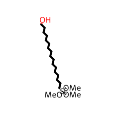 CO[Si](CCCCCCCCCCCCCCCCCO)(OC)OC